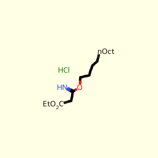 CCCCCCCCCCCCOC(=N)CC(=O)OCC.Cl